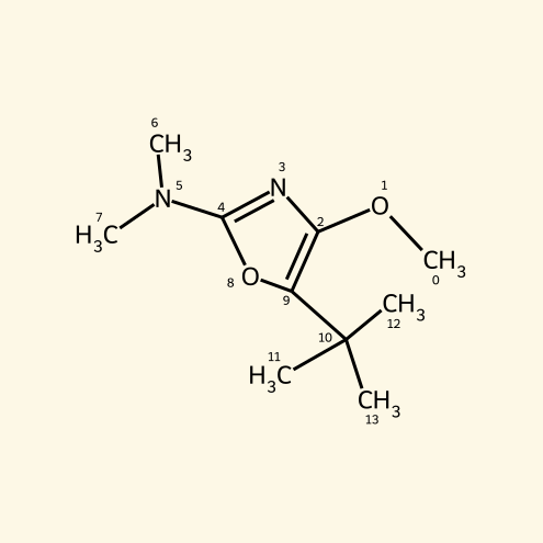 COc1nc(N(C)C)oc1C(C)(C)C